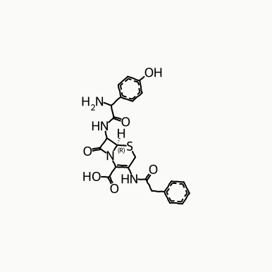 NC(C(=O)NC1C(=O)N2C(C(=O)O)=C(NC(=O)Cc3ccccc3)CS[C@H]12)c1ccc(O)cc1